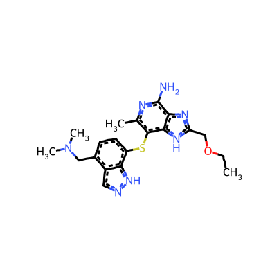 CCOCc1nc2c(N)nc(C)c(Sc3ccc(CN(C)C)c4cn[nH]c34)c2[nH]1